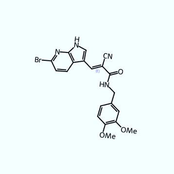 COc1ccc(CNC(=O)/C(C#N)=C/c2c[nH]c3nc(Br)ccc23)cc1OC